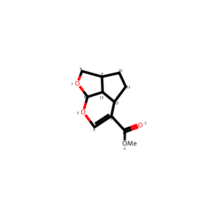 COC(=O)C1=COC2OCC3CCC1C32